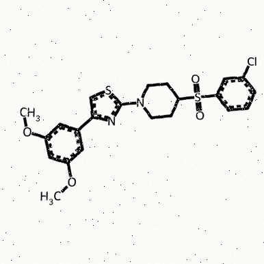 COc1cc(OC)cc(-c2csc(N3CCC(S(=O)(=O)c4cccc(Cl)c4)CC3)n2)c1